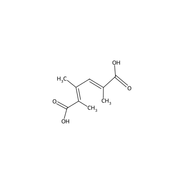 CC(=CC(C)=C(C)C(=O)O)C(=O)O